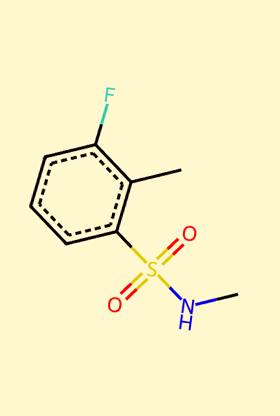 CNS(=O)(=O)c1cccc(F)c1C